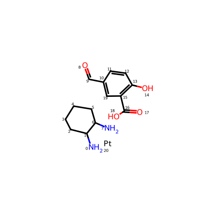 NC1CCCCC1N.O=Cc1ccc(O)c(C(=O)O)c1.[Pt]